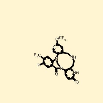 O=C1c2cc(F)c(C(F)(F)F)cc2N2CN1c1ccc(=O)[nH]c1CCNCc1cc(OC(F)(F)F)ccc12